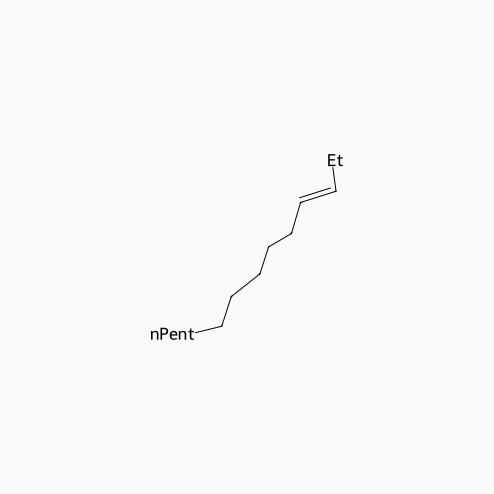 [CH2]C/C=C/CCCCCCCCC[CH2]